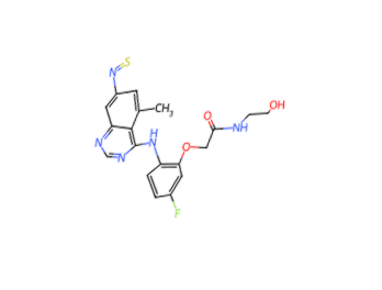 Cc1cc(N=S)cc2ncnc(Nc3ccc(F)cc3OCC(=O)NCCO)c12